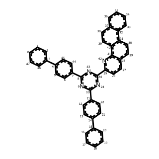 c1ccc(-c2ccc(-c3nc(-c4ccc(-c5ccccc5)cc4)nc(-c4ccc5ccc6c7ccccc7ccc6c5n4)n3)cc2)cc1